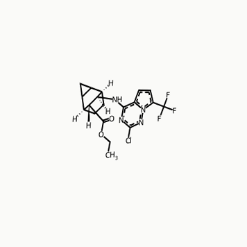 CCOC(=O)[C@H]1[C@H](Nc2nc(Cl)nn3c(C(F)(F)F)ccc23)[C@@H]2CC[C@H]1C1CC12